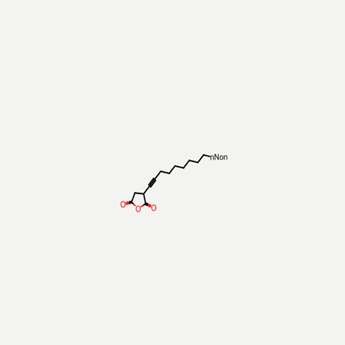 CCCCCCCCCCCCCCCCC#CC1CC(=O)OC1=O